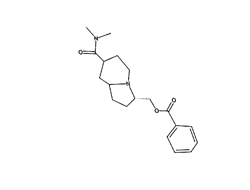 CN(C)C(=O)C1CCN2C(CC[C@H]2COC(=O)c2ccccc2)C1